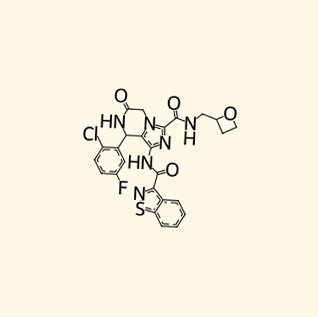 O=C1Cn2c(C(=O)NCC3CCO3)nc(NC(=O)c3nsc4ccccc34)c2C(c2cc(F)ccc2Cl)N1